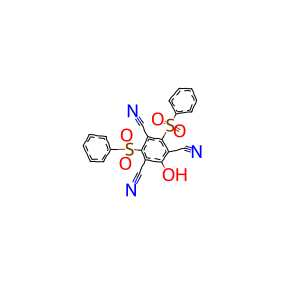 N#Cc1c(O)c(C#N)c(S(=O)(=O)c2ccccc2)c(C#N)c1S(=O)(=O)c1ccccc1